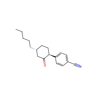 CCCCC[C@@H]1CC[C@@H](c2ccc(C#N)cc2)C(=O)C1